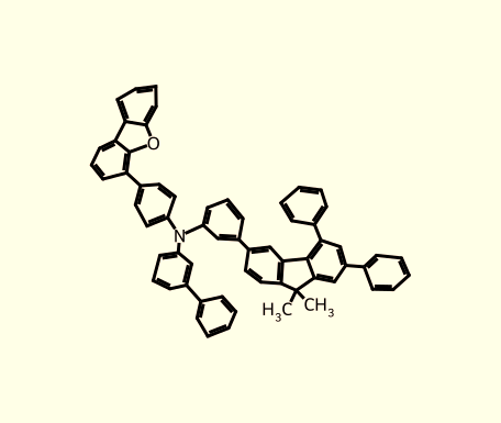 CC1(C)c2ccc(-c3cccc(N(c4ccc(-c5cccc6c5oc5ccccc56)cc4)c4cccc(-c5ccccc5)c4)c3)cc2-c2c(-c3ccccc3)cc(-c3ccccc3)cc21